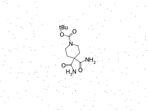 CC(C)(C)OC(=O)N1CCC(C(N)=O)(C(N)=O)CC1